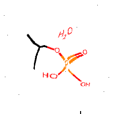 CC(C)OP(=O)(O)O.O